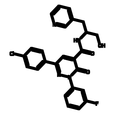 O=C(NC(CO)Cc1cccnc1)c1cc(-c2ccc(Cl)cc2)nn(-c2cccc(F)c2)c1=O